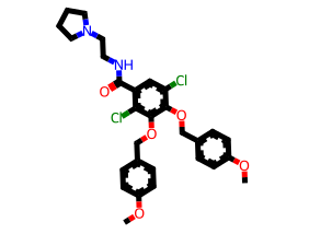 COc1ccc(COc2c(Cl)cc(C(=O)NCCN3CCCC3)c(Cl)c2OCc2ccc(OC)cc2)cc1